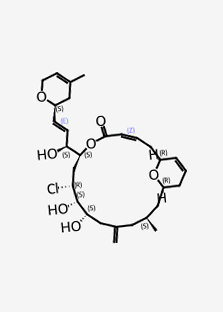 C=C1C[C@H](C)C[C@@H]2CC=C[C@@H](C/C=C\C(=O)O[C@H]([C@@H](O)/C=C/[C@@H]3CC(C)=CCO3)C[C@@H](Cl)[C@@H](O)[C@@H](O)C1)O2